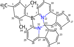 Cc1cc(C)c(B2c3cccc4[n+]3C3(Cc5ccccc5-4)c4ccccc4-c4cccc2[n+]43)c(C)c1